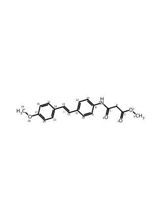 COC(=O)CC(=O)Nc1ccc(/C=C/c2ccc(OC)cc2)cc1